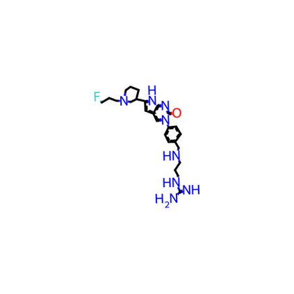 N=C(N)NCCCNCc1ccc(-n2cc3cc(C4CCCN(CCCF)C4)[nH]c3nc2=O)cc1